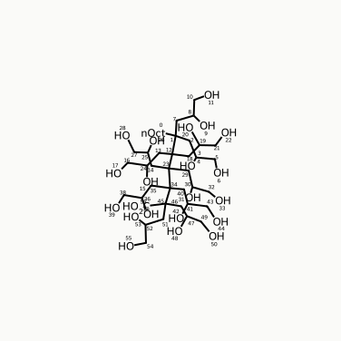 CCCCCCCCC(CC(O)CO)(CC(O)CO)C(CC(O)CO)(CC(O)CO)C(CC(O)CO)(CC(O)CO)C(CC(O)CO)(CC(O)CO)C(CC(O)CO)(CC(O)CO)C(=O)O